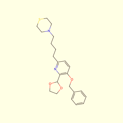 c1ccc(COc2ccc(CCCCN3CCSCC3)nc2C2OCCO2)cc1